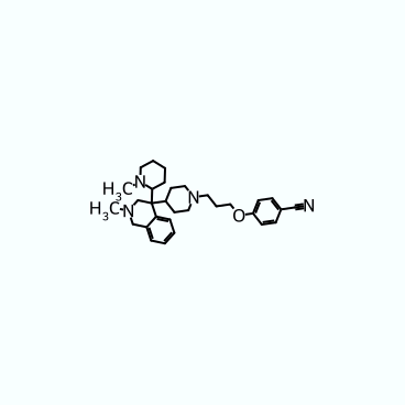 CN1Cc2ccccc2C(C2CCN(CCCOc3ccc(C#N)cc3)CC2)(C2CCCCN2C)C1